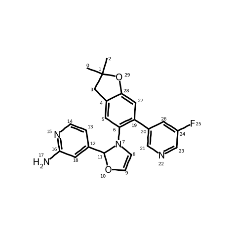 CC1(C)Cc2cc(N3C=COC3c3ccnc(N)c3)c(-c3cncc(F)c3)cc2O1